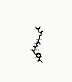 C=C(Cc1cccc(C(C)C)c1)N/C(C)=C/C=C(\C)CCCCC(=C)SC(=C)C